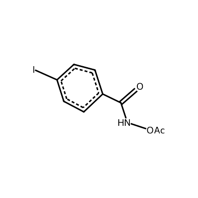 CC(=O)ONC(=O)c1ccc(I)cc1